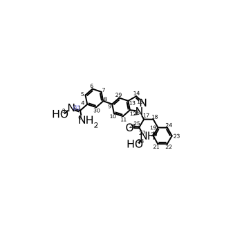 N/C(=N\O)c1cccc(-c2ccc3c(cnn3C(Cc3ccccc3)C(=O)NO)c2)c1